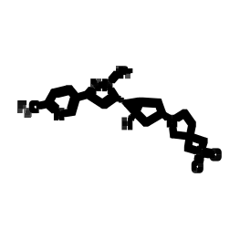 CC(C)n1nc(-c2ccc(C(F)(F)F)nc2)cc1[C@@H]1C2=C[C@@H](N3CCC4(C3)CS(=O)(=O)C4)C[C@H]21